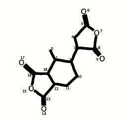 CC1C(C2CC(=O)OC2=O)CCC2C(=O)OC(=O)C21